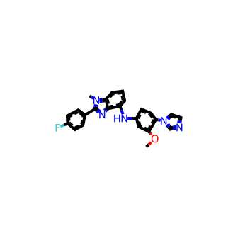 COc1cc(Nc2cccc3c2nc(-c2ccc(F)cc2)n3C)ccc1-n1ccnc1